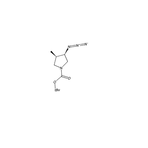 C[C@@H]1CN(C(=O)OC(C)(C)C)C[C@@H]1N=[N+]=[N-]